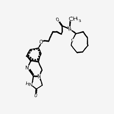 CN(C(=O)CCCOc1ccc2c(c1)CN1CC(=O)NC1=N2)C1CCCCCCC1